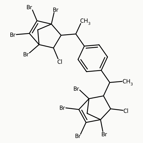 CC(c1ccc(C(C)C2C(Cl)C3(Br)CC2(Br)C(Br)=C3Br)cc1)C1C(Cl)C2(Br)CC1(Br)C(Br)=C2Br